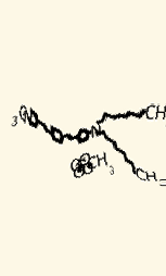 CCCCCCCCCCN(CCCCCCCCCC)c1ccc(/C=C/c2ccc(/C=C/c3cc[n+](C)cc3)cc2)cc1.COS(=O)(=O)[O-]